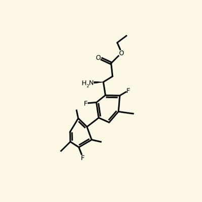 CCOC(=O)C[C@H](N)c1c(F)c(C)cc(-c2c(C)cc(C)c(F)c2C)c1F